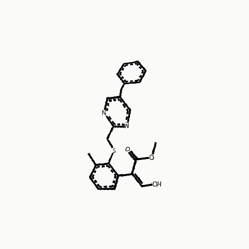 COC(=O)C(=CO)c1cccc(C)c1SCc1ncc(-c2ccccc2)cn1